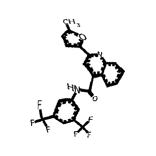 Cc1ccc(-c2cc(C(=O)Nc3cc(C(F)(F)F)cc(C(F)(F)F)c3)c3ccccc3n2)o1